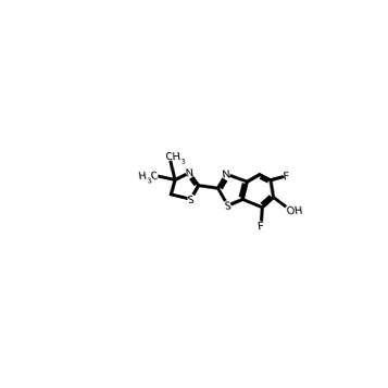 CC1(C)CSC(c2nc3cc(F)c(O)c(F)c3s2)=N1